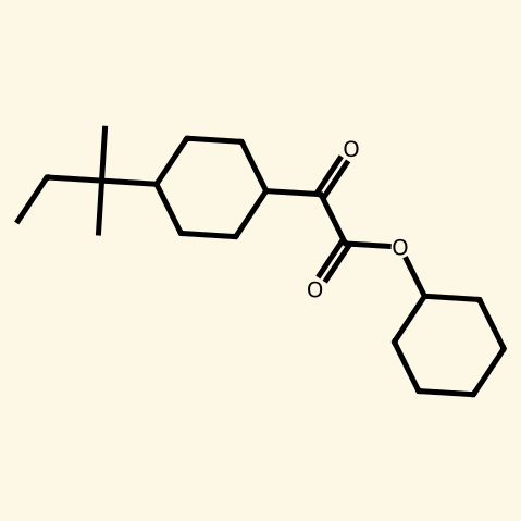 CCC(C)(C)C1CCC(C(=O)C(=O)OC2CCCCC2)CC1